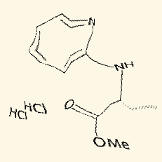 COC(=O)[C@@H](C)Nc1ccccn1.Cl.Cl